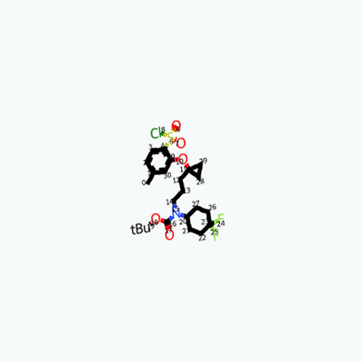 Cc1ccc(S(=O)(=O)Cl)c(OC2(CCCN(C(=O)OC(C)(C)C)C3CCC(F)(F)CC3)CC2)c1